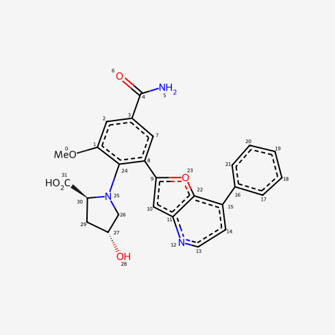 COc1cc(C(N)=O)cc(-c2cc3nccc(-c4ccccc4)c3o2)c1N1C[C@H](O)C[C@H]1C(=O)O